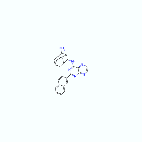 NC1C2CC3CC(C2)C(Nc2nc(-c4ccc5ccccc5c4)nc4nccnc24)C1C3